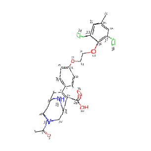 CC(=O)N1CC2CC(c3ccc(OCCOc4c(Cl)cc(C)cc4Cl)cc3)=C(C(=O)O)C(C1)N2